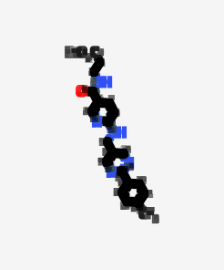 CCOC(=O)CCNC(=O)c1ccc(NCc2cnc(-c3ccc(C(F)(F)F)cc3)nc2)nc1